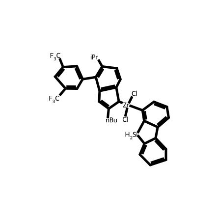 CCCCC1=Cc2c(ccc(C(C)C)c2-c2cc(C(F)(F)F)cc(C(F)(F)F)c2)[CH]1[Zr]([Cl])([Cl])[c]1cccc2c1[SiH2]c1ccccc1-2